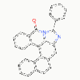 O=c1c2ccccc2c2c3c(ccc4ccccc43)cc3nc(-c4ccccc4)n1c32